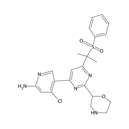 CC(C)(c1cc(-c2cnc(N)cc2Cl)nc(C2CNCCO2)n1)S(=O)(=O)c1ccccc1